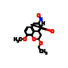 CCO[C@H]1C[C@]23C=CC(=O)C[C@H]2C(N=O)=Cc2ccc(OC)c(c23)O1